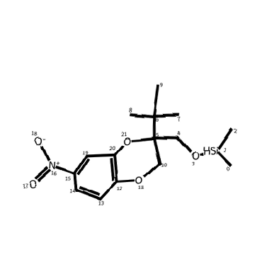 C[SiH](C)OCC1(C(C)(C)C)COc2ccc([N+](=O)[O-])cc2O1